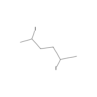 CC(I)CCC(C)I